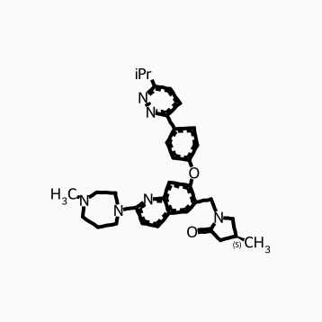 CC(C)c1ccc(-c2ccc(Oc3cc4nc(N5CCCN(C)CC5)ccc4cc3CN3C[C@@H](C)CC3=O)cc2)nn1